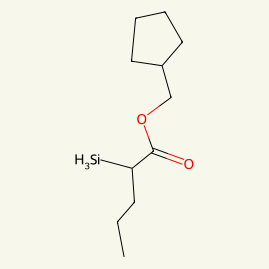 CCCC([SiH3])C(=O)OCC1CCCC1